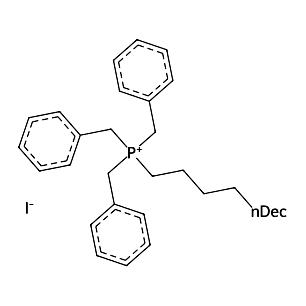 CCCCCCCCCCCCCC[P+](Cc1ccccc1)(Cc1ccccc1)Cc1ccccc1.[I-]